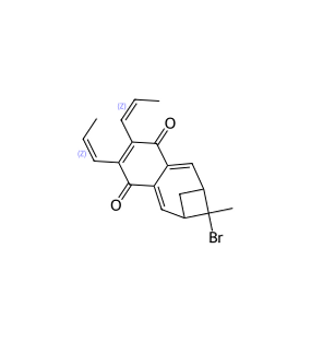 C/C=C\C1=C(/C=C\C)C(=O)C2=CC3CC(C=C2C1=O)C3(C)Br